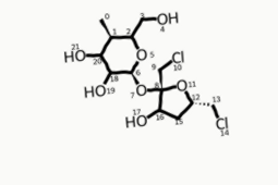 C[C@H]1C(CO)O[C@@H](O[C@]2(CCl)O[C@H](CCl)CC2O)C(O)C1O